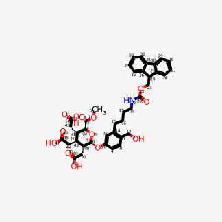 COC(=O)[C@H]1O[C@@H](Oc2ccc(CO)c(CCCCNC(=O)OCC3c4ccccc4-c4ccccc43)c2)[C@H](CC(=O)O)[C@@H](CC(=O)O)[C@@H]1CC(=O)O